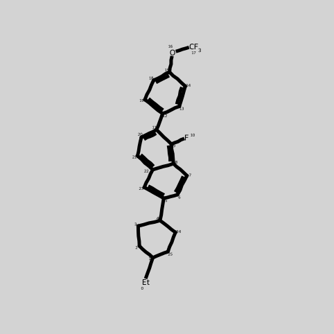 CCC1CCC(c2ccc3c(F)c(-c4ccc(OC(F)(F)F)cc4)ccc3c2)CC1